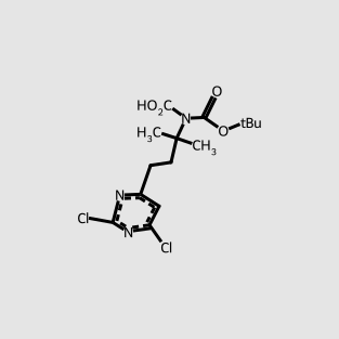 CC(C)(C)OC(=O)N(C(=O)O)C(C)(C)CCc1cc(Cl)nc(Cl)n1